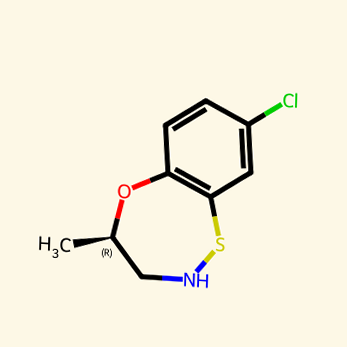 C[C@@H]1CNSc2cc(Cl)ccc2O1